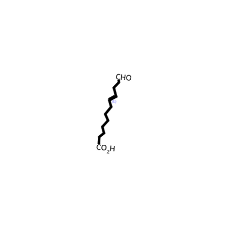 O=CCC/C=C/CCCCCCC(=O)O